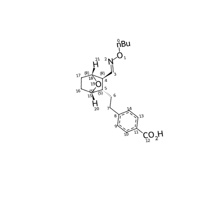 CCCCON=C[C@H]1[C@H](CCc2ccc(C(=O)O)cc2)[C@@H]2CC[C@H]1O2